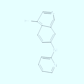 Oc1cncc2cc(Nc3ccccn3)ccc12